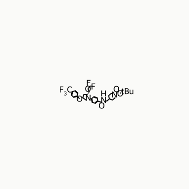 CC(C)(C)OC(=O)N1CCC(CNC(=O)c2ccc(N3C[C@@H](Oc4ccc(C(F)(F)F)cc4)C[C@H]3COC(F)F)cc2)CC1